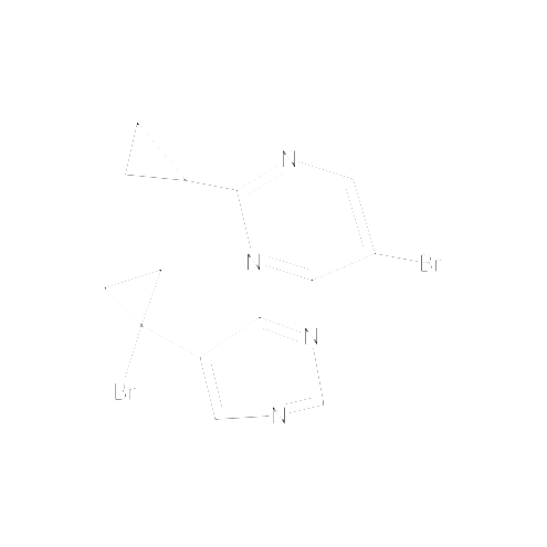 BrC1(c2cncnc2)CC1.Brc1cnc(C2CC2)nc1